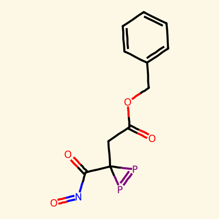 O=NC(=O)C1(CC(=O)OCc2ccccc2)P=P1